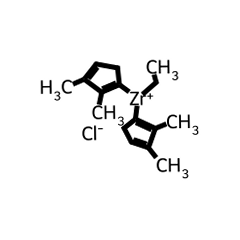 C[CH2][Zr+]([C]1=C(C)C(C)=CC1)[C]1=C(C)C(C)=CC1.[Cl-]